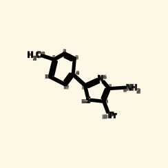 Cc1ccc(-c2nc(N)c(C(C)C)s2)cc1